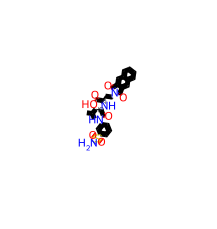 CC(C)C[C@H](N[C@H](CCN1C(=O)c2cc3ccccc3cc2C1=O)C(=O)O)C(=O)Nc1cccc(S(N)(=O)=O)c1